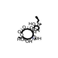 C#CCCN(C)[C@H]1C[C@@H](C)O[C@@H](O[C@@H]2[C@@H](C)C(=O)[C@@H](C)C(=O)O[C@H](CC)[C@@](C)(O)[C@H](O)[C@@H](C)/C(=N/O)[C@H](C)C[C@@]2(C)OC)[C@@H]1O